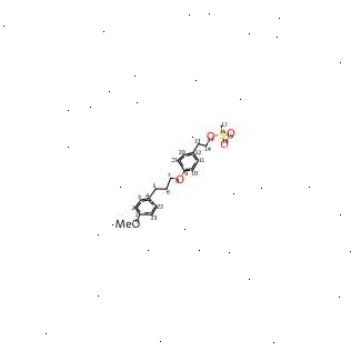 COc1ccc(CCCOc2ccc(CCOS(C)(=O)=O)cc2)cc1